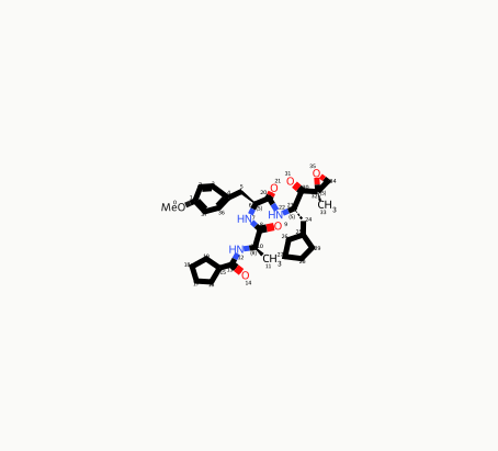 COc1ccc(C[C@H](NC(=O)[C@@H](C)NC(=O)C2CCCC2)C(=O)N[C@@H](CC2CCCC2)C(=O)[C@]2(C)CO2)cc1